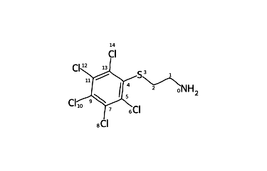 NCCSc1c(Cl)c(Cl)c(Cl)c(Cl)c1Cl